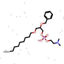 CCCCCCCCCCCCCCCCCCOCC(COP(=O)(O)OCCN(C)C)OCc1ccccc1